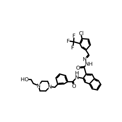 O=C(Nc1cc2ccccc2cc1C(=O)N/N=C/c1ccc(Cl)c(C(F)(F)F)c1)c1cccc(CN2CCN(CCO)CC2)c1